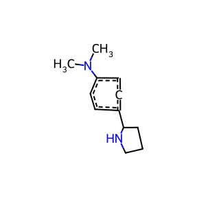 CN(C)c1ccc(C2CCCN2)cc1